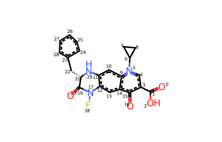 O=C(O)c1cn(C2CC2)c2cc3c(cc2c1=O)N(F)C(=O)[C@H](Cc1ccccc1)N3